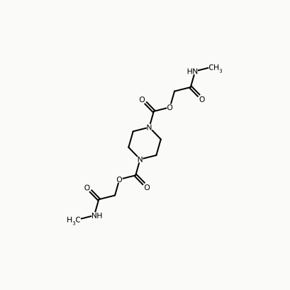 CNC(=O)COC(=O)N1CCN(C(=O)OCC(=O)NC)CC1